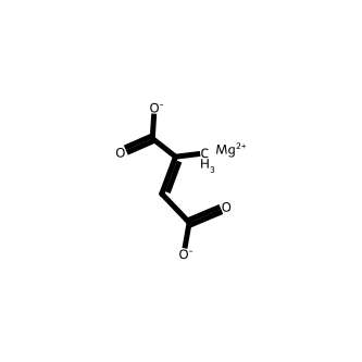 C/C(=C\C(=O)[O-])C(=O)[O-].[Mg+2]